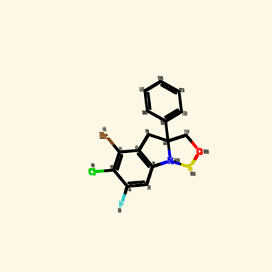 Fc1cc2c(c(Br)c1Cl)CC1(c3ccccc3)COSN21